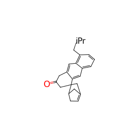 CC(C)Cc1cccc2cc3c(cc12)CC(=O)CC31CC2=CCC1C2